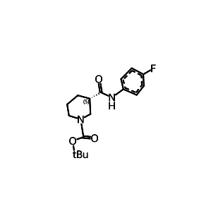 CC(C)(C)OC(=O)N1CCC[C@H](C(=O)Nc2ccc(F)cc2)C1